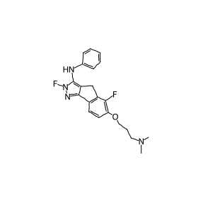 CN(C)CCCOc1ccc2c(c1F)Cc1c-2nn(F)c1Nc1ccccc1